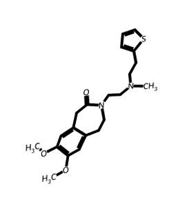 COc1cc2c(cc1OC)CC(=O)N(CCN(C)CCc1cccs1)CC2